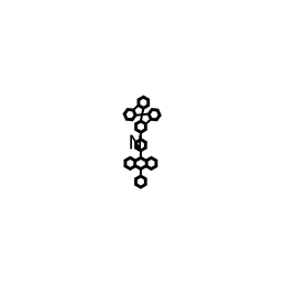 c1ccc(-c2c3ccccc3c(-c3ccc(-c4ccc5c(c4)-c4ccccc4C54c5ccccc5-c5ccccc54)nc3)c3ccccc23)cc1